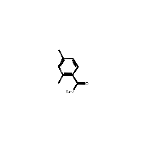 [CH2]c1ccc(C(=O)OC)c(C)c1